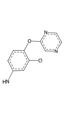 [NH]c1ccc(Oc2cnccn2)c(Cl)c1